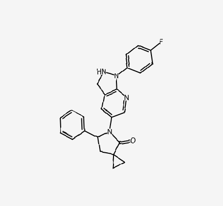 O=C1N(c2cnc3c(c2)CNN3c2ccc(F)cc2)C(c2ccccc2)CC12CC2